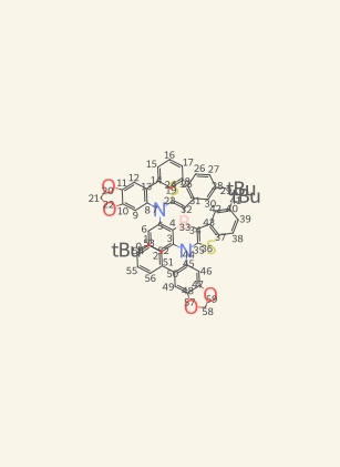 CC(C)(C)c1cc2c3c(c1)N(c1cc4c(cc1-c1ccccc1)OCO4)c1sc4ccc(C(C)(C)C)cc4c1B3c1c(sc3ccc(C(C)(C)C)cc13)N2c1cc2c(cc1-c1ccccc1)OCO2